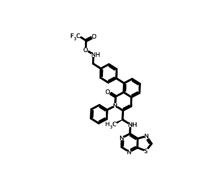 C[C@H](Nc1ncnc2scnc12)c1cc2cccc(-c3ccc(CNOC(=O)C(F)(F)F)cc3)c2c(=O)n1-c1ccccc1